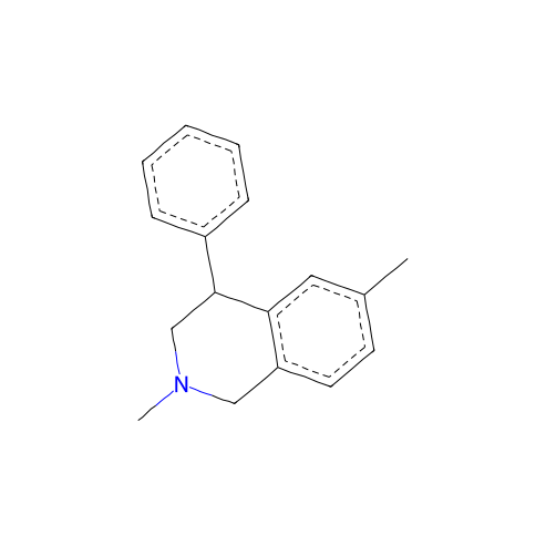 Cc1ccc2c(c1)C(c1ccccc1)CN(C)C2